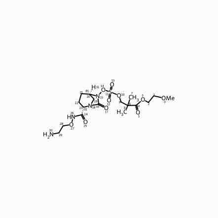 COCCOC(=O)C(C)(C)COS(=O)(=O)ON1C(=O)N2C[C@H]1CC[C@H]2C(=O)NOCCN